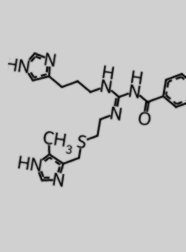 Cc1[nH]cnc1CSCCN=C(NCCCc1c[nH]cn1)NC(=O)c1ccccc1